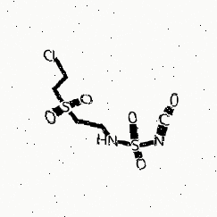 O=C=NS(=O)(=O)NCCS(=O)(=O)CCCl